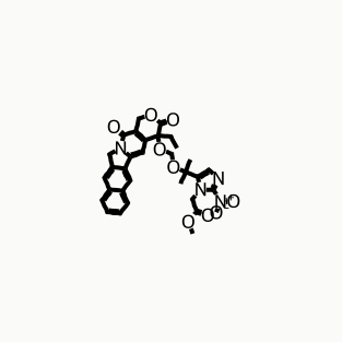 CCC1(OCOC(C)(C)c2cnc([N+](=O)[O-])n2CC(=O)OC)C(=O)OCc2c1cc1n(c2=O)Cc2cc3ccccc3cc2-1